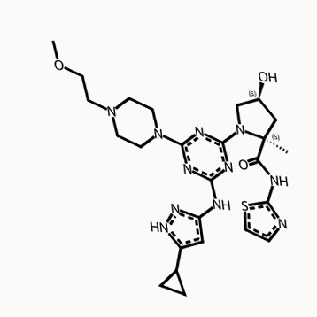 COCCN1CCN(c2nc(Nc3cc(C4CC4)[nH]n3)nc(N3C[C@@H](O)C[C@@]3(C)C(=O)Nc3nccs3)n2)CC1